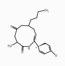 CCCCC1C/N=C(/[C@@H]2C=CC(Cl)=CC2)NC(=O)C(C)CC(=O)C1